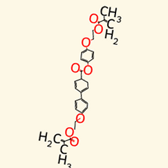 C=C(C)C(=O)OCCOc1ccc(OC(=O)C2C=CC(c3ccc(OCCOC(=O)C(=C)C)cc3)=CC2)cc1